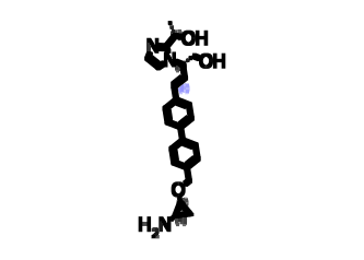 C[C@H](O)c1nccn1[C@@H](/C=C/c1ccc(-c2ccc(CO[C@H]3C[C@H]3N)cc2)cc1)CO